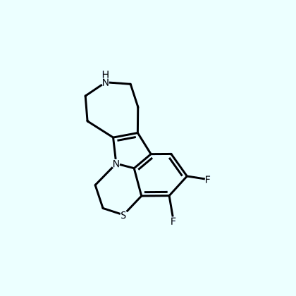 Fc1cc2c3c(n4c2c(c1F)SCC4)CCNCC3